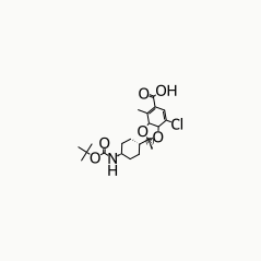 CC1=C(C(=O)O)C=C(Cl)C2O[C@](C)([C@H]3CC[C@H](NC(=O)OC(C)(C)C)CC3)OC12